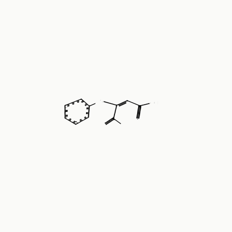 O=C(O)C=C(Nc1ccccc1)C(=O)O